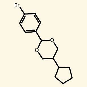 Brc1ccc(C2OCC(C3CCCC3)CO2)cc1